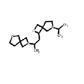 CC(C)N1CCC2(COC2CC(C)N2CC3(CCOC3)C2)C1